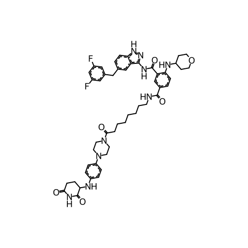 O=C1CCC(Nc2ccc(N3CCN(C(=O)CCCCCCCNC(=O)c4ccc(NC5CCOCC5)c(C(=O)Nc5n[nH]c6ccc(Cc7cc(F)cc(F)c7)cc56)c4)CC3)cc2)C(=O)N1